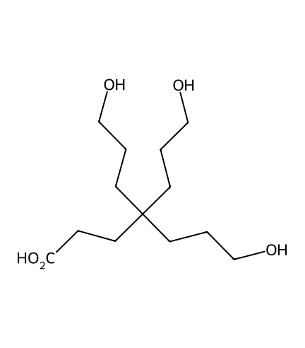 O=C(O)CCC(CCCO)(CCCO)CCCO